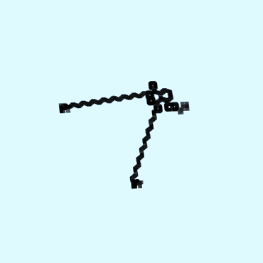 CC(C)CCCCCCCCCCCCCCCOC(=O)c1cccc(C(=O)O)c1C(=O)OCCCCCCCCCCCCCCCC(C)C